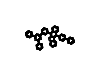 c1ccc(-c2ccc(-c3c4ccccc4c(-c4cccc(-c5nc(-c6ccccc6)nc(-c6ccccc6)n5)c4)c4oc5ccccc5c34)cc2)cc1